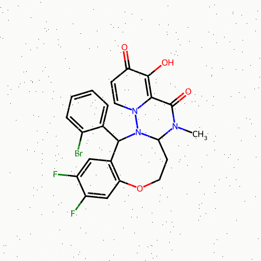 CN1C(=O)c2c(O)c(=O)ccn2N2C(c3ccccc3Br)c3cc(F)c(F)cc3OCCC12